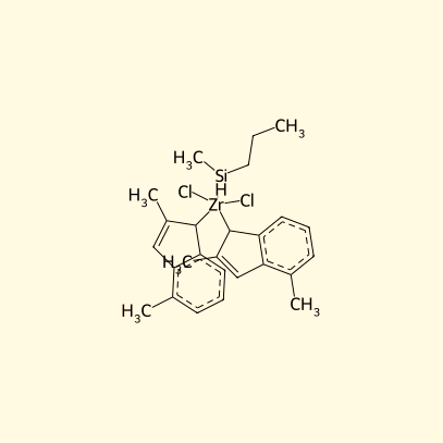 CCC[SiH](C)[Zr]([Cl])([Cl])([CH]1C(C)=Cc2c(C)cccc21)[CH]1C(C)=Cc2c(C)cccc21